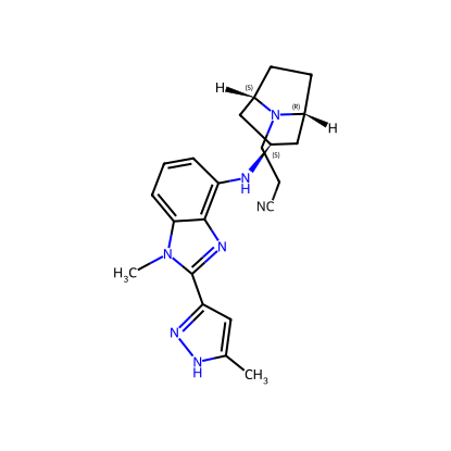 Cc1cc(-c2nc3c(N[C@@H]4C[C@H]5CC[C@@H](C4)N5CCC#N)cccc3n2C)n[nH]1